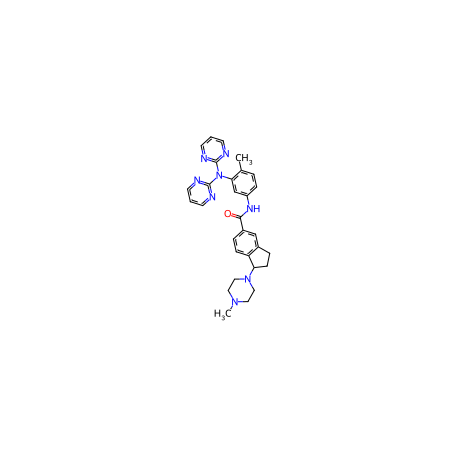 Cc1ccc(NC(=O)c2ccc3c(c2)CCC3N2CCN(C)CC2)cc1N(c1ncccn1)c1ncccn1